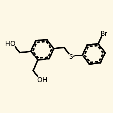 OCc1ccc(CSc2cccc(Br)c2)cc1CO